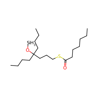 CCCCCCC(=O)SCCCC(CCCC)(CCCC)O[SiH3]